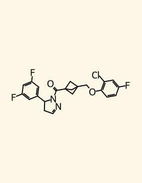 O=C(N1N=CCC1c1cc(F)cc(F)c1)C12CC(COc3ccc(F)cc3Cl)(C1)C2